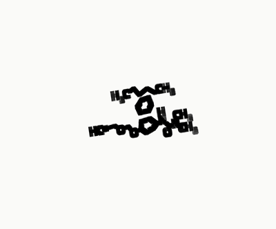 C#CCOCOc1ccc(NC(=O)N(C)C)cc1.CCCCCC.c1ccccc1